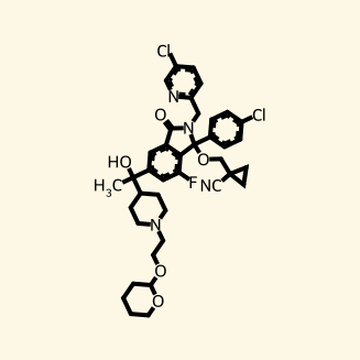 CC(O)(c1cc(F)c2c(c1)C(=O)N(Cc1ccc(Cl)cn1)C2(OCC1(C#N)CC1)c1ccc(Cl)cc1)C1CCN(CCOC2CCCCO2)CC1